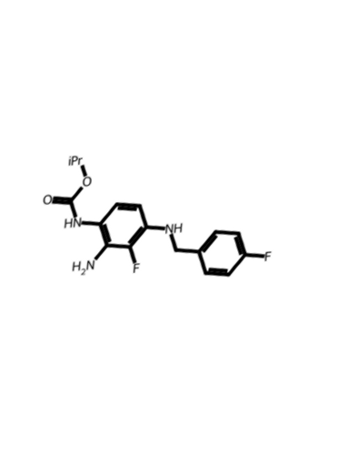 CC(C)OC(=O)Nc1ccc(NCc2ccc(F)cc2)c(F)c1N